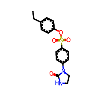 CCc1ccc(OS(=O)(=O)c2ccc(N3CCNC3=O)cc2)cc1